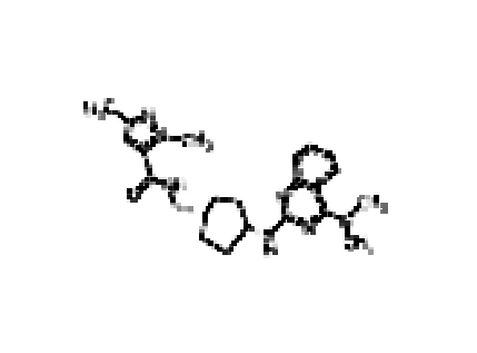 Cc1cc(C(=O)NC[C@H]2CC[C@@H](Nc3nc(N(C)C)c4ccccc4n3)CC2)n(C)n1